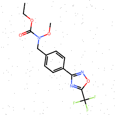 CCOC(=O)N(Cc1ccc(-c2noc(C(F)(F)F)n2)cc1)OC